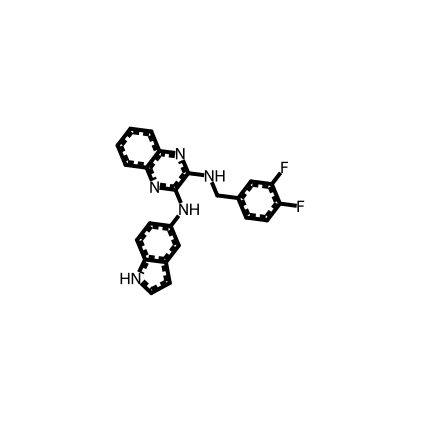 Fc1ccc(CNc2nc3ccccc3nc2Nc2ccc3[nH]ccc3c2)cc1F